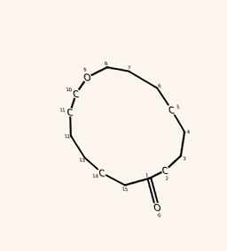 O=C1CCCCCCCOCCCCCC1